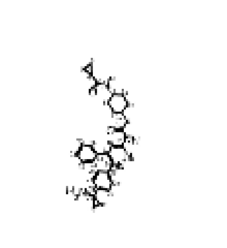 CN(C(=O)C1CC1)[C@H]1CC[C@H](CC(=O)Nc2cc(-c3ccccc3)c(-c3ccc(C4(N)CC4)cc3)nn2)CC1